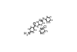 Cc1cncnc1Cl.Nc1ccc(C(=O)CC2CCN(Cc3ccccc3)CC2)cc1